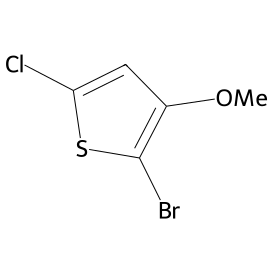 COc1cc(Cl)sc1Br